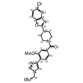 COc1cc(C(=O)N2CCN(c3nc4nc(Cl)ccc4o3)CC2)ccc1-c1cn(CC(C)(C)C)nn1